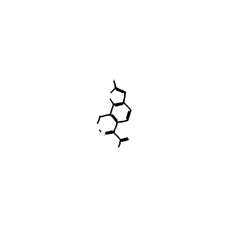 O=C(O)C1=NOCc2c1ccc1cc(Cl)sc21